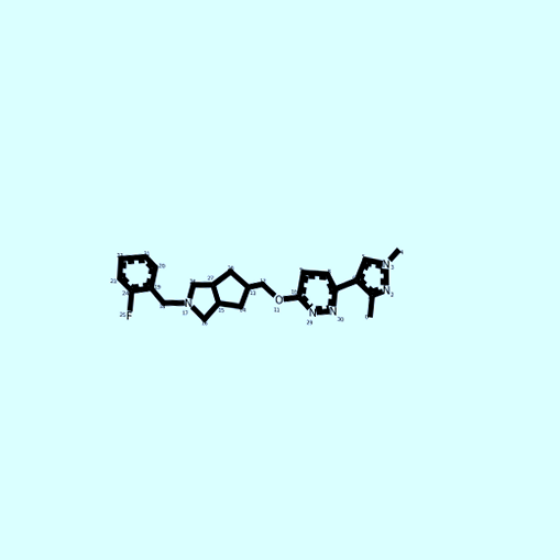 Cc1nn(C)cc1-c1ccc(OCC2CC3CN(Cc4ccccc4F)CC3C2)nn1